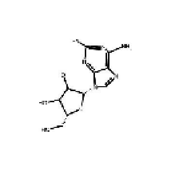 Nc1nc(S)nc2c1ncn2[C@@H]1O[C@H](CO)C(O)C1O